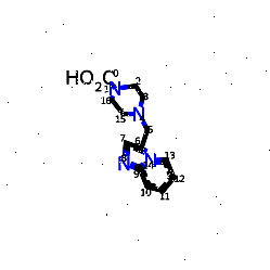 O=C(O)N1CCN(Cc2cnc3ccccn23)CC1